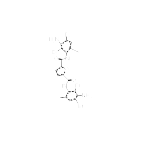 CCc1cc(C)c(NC(=O)c2ccc(C(=O)Nc3c(C)cc(CC)c(N)c3CC)o2)c(CC)c1N